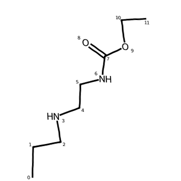 CCCNCCNC(=O)OCC